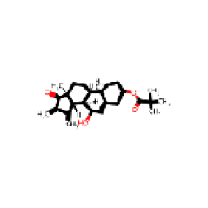 C=C1C(=C)[C@H]2[C@@H]3C(O)C=C4CC(OC(=O)C(C)(C)C)CC[C@]4(C)[C@@H]3CC[C@]2(C)C1=O